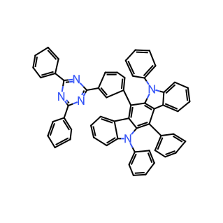 c1ccc(-c2nc(-c3ccccc3)nc(-c3cccc(-c4c5c6ccccc6n(-c6ccccc6)c5c(-c5ccccc5)c5c6ccccc6n(-c6ccccc6)c45)c3)n2)cc1